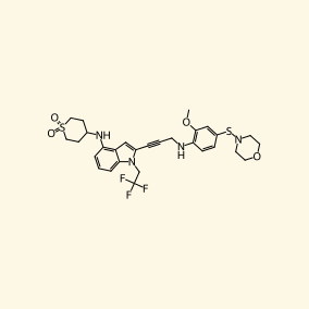 COc1cc(SN2CCOCC2)ccc1NCC#Cc1cc2c(NC3CCS(=O)(=O)CC3)cccc2n1CC(F)(F)F